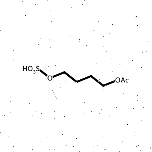 CC(=O)OCCCCOS(=O)(=O)O